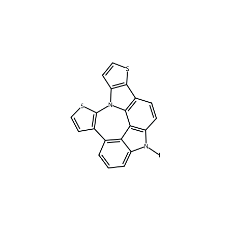 In1c2cccc3c4ccsc4n4c5ccsc5c5ccc1c(c32)c54